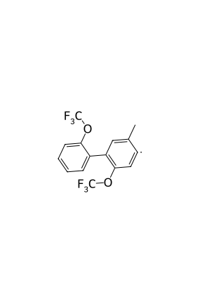 Cc1[c]cc(OC(F)(F)F)c(-c2ccccc2OC(F)(F)F)c1